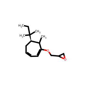 CCC(C)(C)[C@@H]1CC=CC=C(OCC2CO2)C1C